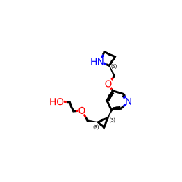 OCCOC[C@@H]1C[C@@H]1c1cncc(OC[C@@H]2CCN2)c1